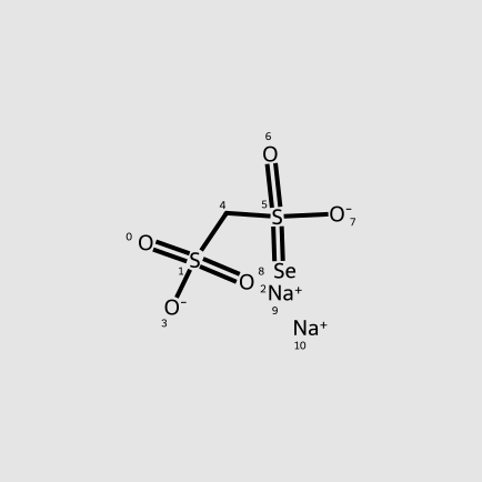 O=S(=O)([O-])CS(=O)([O-])=[Se].[Na+].[Na+]